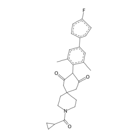 Cc1cc(-c2ccc(F)cc2)cc(C)c1C1C(=O)CC2(CCN(C(=O)C3CC3)CC2)CC1=O